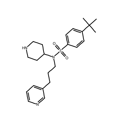 CC(C)(C)c1ccc(S(=O)(=O)N(CCCc2cccnc2)C2CCNCC2)cc1